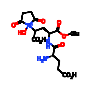 CC(C)(C)OC(=O)[C@H](CC(C(=O)O)[N+]1(O)C(=O)CCC1=O)NC(=O)[C@@H](N)CCC(=O)O